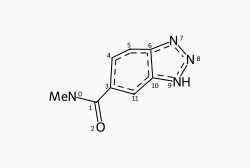 CNC(=O)c1ccc2nn[nH]c2c1